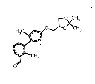 Cc1cc(OC[C@H]2COC(C)(C)O2)ccc1-c1cccc(C=O)c1C